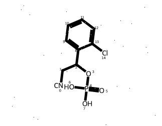 N#CCC(OP(=O)(O)O)c1ccccc1Cl